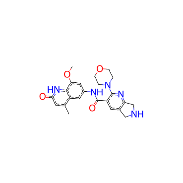 COc1cc(NC(=O)c2cc3c(nc2N2CCOCC2)CNC3)cc2c(C)cc(=O)[nH]c12